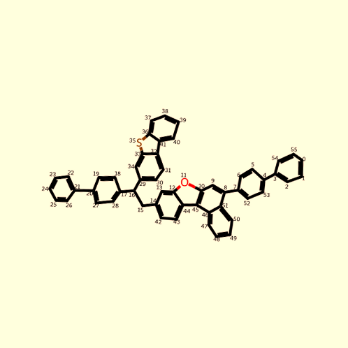 c1ccc(-c2ccc(-c3cc4oc5cc(CC(c6ccc(-c7ccccc7)cc6)c6ccc7c(c6)sc6ccccc67)ccc5c4c4ccccc34)cc2)cc1